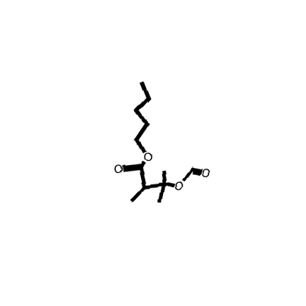 CCCCCOC(=O)C(C)C(C)(C)O[C]=O